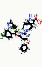 Cc1ccn(-c2cc(Cl)ccc2[C@@H](Oc2cc(Oc3ccccc3)nc(N3CCC4(CC3)CN[C@H](C(=O)O)C4)n2)C(F)(F)F)n1